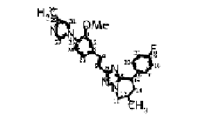 COc1cc(/C=C/c2nc3n(n2)CC(C)CC3c2ccc(F)cc2)ccc1-n1cnc(C)c1